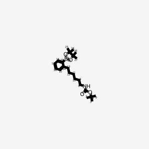 CC(C)(C)OC(=O)NCCCCCCc1ccccc1B1OC(C)(C)C(C)(C)O1